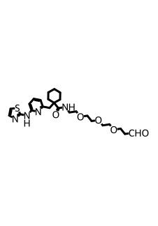 O=CCCOCCOCCOCCNC(=O)C1(Cc2cccc(Nc3nccs3)n2)CCCCC1